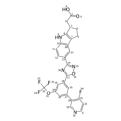 O=C(O)CC1CCc2c1[nH]c1ccc(-c3noc(-c4cc(OC(F)(F)F)cc(-c5cnccc5F)c4)n3)cc21